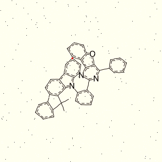 CC1(C)c2ccccc2-c2ccc3c4ccccc4n(-c4ccccc4-c4nc(-c5ccccc5)c5oc6ccccc6c5n4)c3c21